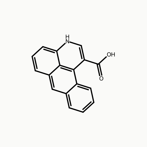 O=C(O)C1=CNc2cccc3cc4ccccc4c1c23